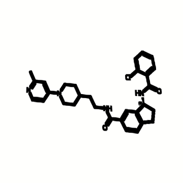 Cc1cc(N2CCC(CCNC(=O)c3ccc4c(c3)[C@H](NC(=O)c3ccccc3Cl)CC4)CC2)ccn1